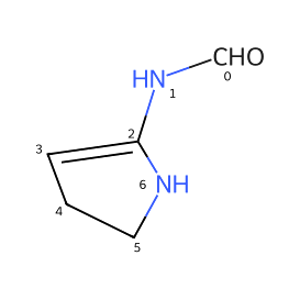 O=CNC1=CCCN1